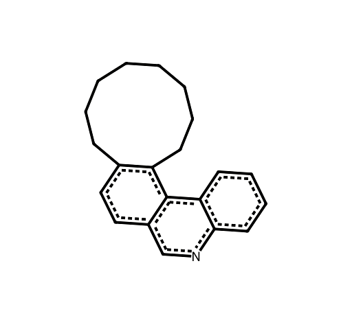 c1ccc2c(c1)ncc1ccc3c(c12)CCCCCCCC3